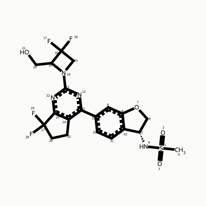 CS(=O)(=O)N[C@H]1COc2cc(-c3nc(N4CC(F)(F)C4CO)nc4c3CCC4(F)F)ccc21